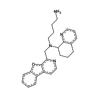 NCCCCN(Cc1nccc2c1oc1ccccc12)C1CCCc2cccnc21